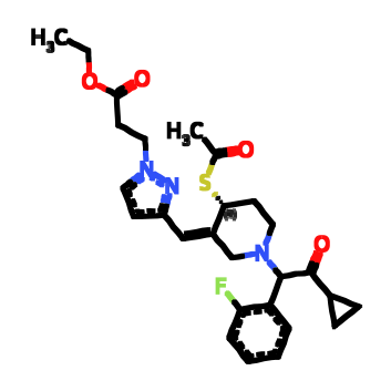 CCOC(=O)CCn1ccc(C=C2CN(C(C(=O)C3CC3)c3ccccc3F)CC[C@H]2SC(C)=O)n1